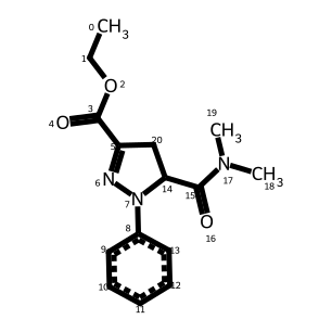 CCOC(=O)C1=NN(c2ccccc2)C(C(=O)N(C)C)C1